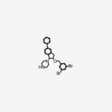 Brc1cc(Br)cc(COC2Cc3cc(-c4ccccc4)ccc3C2N2CCNCC2)c1